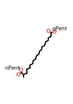 CCCCCOC(=O)CCCCCCCCCCCCCCCCCC(C)C(=O)OCCCCC